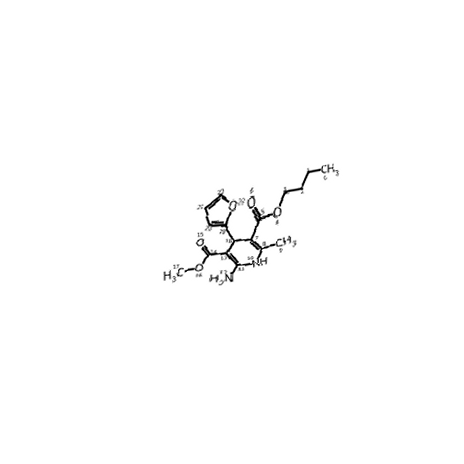 CCCCOC(=O)C1=C(C)NC(N)=C(C(=O)OC)C1c1ccco1